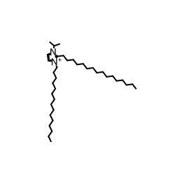 CCCCCCCCCCCCCCCCc1n(C(C)C)cc[n+]1CCCCCCCCCCCCCCC